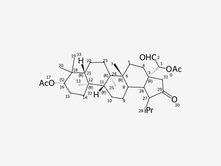 CC(=O)OC(C=O)[C@@]12CC[C@]3(C)C(CC[C@@H]4[C@@]5(C)CC[C@H](OC(C)=O)C(C)(C)[C@@H]5CC[C@]43C)C1C(C(C)C)C(=O)C2